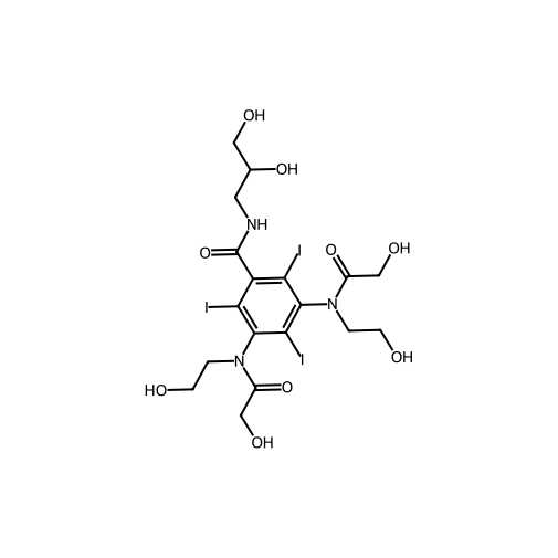 O=C(NCC(O)CO)c1c(I)c(N(CCO)C(=O)CO)c(I)c(N(CCO)C(=O)CO)c1I